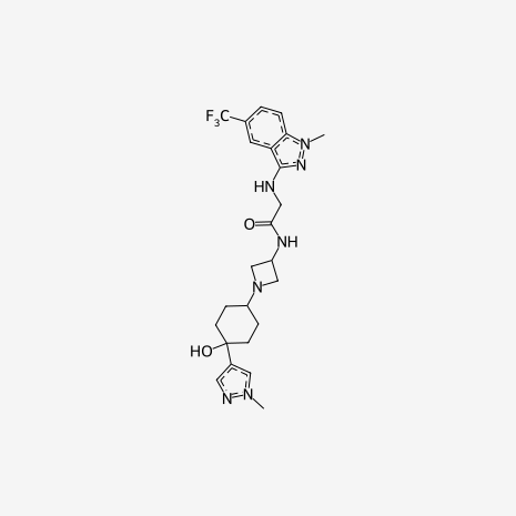 Cn1cc(C2(O)CCC(N3CC(NC(=O)CNc4nn(C)c5ccc(C(F)(F)F)cc45)C3)CC2)cn1